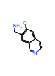 NCc1cc2cnccc2cc1Cl